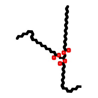 CCCC/C=C\C/C=C\CCCCCCCC(=O)O[C@@H](COC(=O)CCCCCCCCC/C=C\C/C=C\CCCCC)COC(=O)CCCCCCCCCCCCCCCC